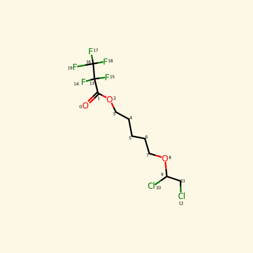 O=C(OCCCCCOC(Cl)CCl)C(F)(F)C(F)(F)F